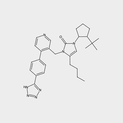 CCCCc1cn(C2CCCC2C(C)(C)C)c(=O)n1Cc1cnccc1-c1ccc(-c2nnn[nH]2)cc1